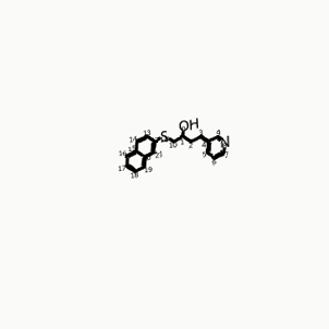 OC(CCc1cccnc1)CSc1ccc2ccccc2c1